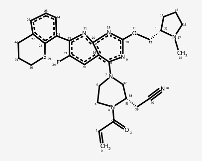 C=CC(=O)N1CCN(c2nc(OC[C@@H]3CCCN3C)nc3nc(-c4cccc5c4SCCC5)c(F)cc23)C[C@@H]1CC#N